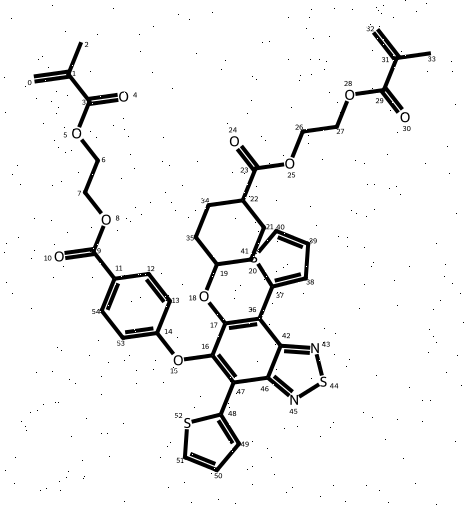 C=C(C)C(=O)OCCOC(=O)c1ccc(Oc2c(OC3CCC(C(=O)OCCOC(=O)C(=C)C)CC3)c(-c3cccs3)c3nsnc3c2-c2cccs2)cc1